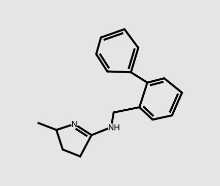 CC1CCC(NCc2ccccc2-c2ccccc2)=N1